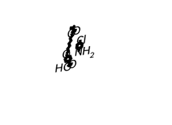 C=C(C)C(=O)OCCCCCCCOc1ccc(C(=O)O)cc1.Nc1ccc(Cl)cc1